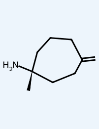 C=C1CCC[C@@](C)(N)CC1